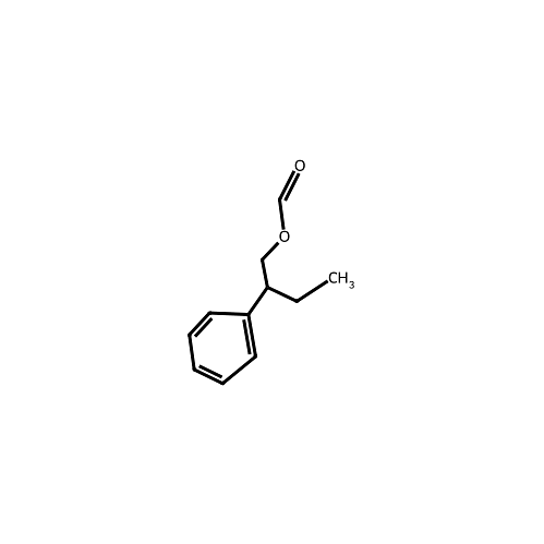 CCC(COC=O)c1ccccc1